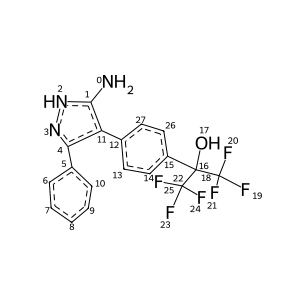 Nc1[nH]nc(-c2ccccc2)c1-c1ccc(C(O)(C(F)(F)F)C(F)(F)F)cc1